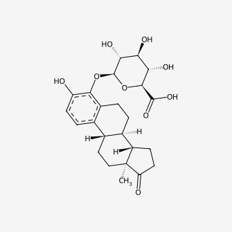 C[C@]12CC[C@@H]3c4ccc(O)c(O[C@@H]5O[C@H](C(=O)O)[C@@H](O)[C@H](O)[C@H]5O)c4CC[C@H]3[C@@H]1CCC2=O